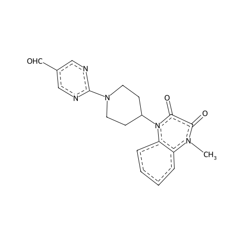 Cn1c(=O)c(=O)n(C2CCN(c3ncc(C=O)cn3)CC2)c2ccccc21